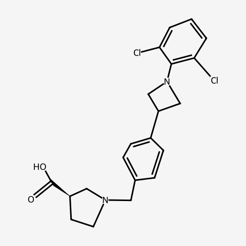 O=C(O)[C@@H]1CCN(Cc2ccc(C3CN(c4c(Cl)cccc4Cl)C3)cc2)C1